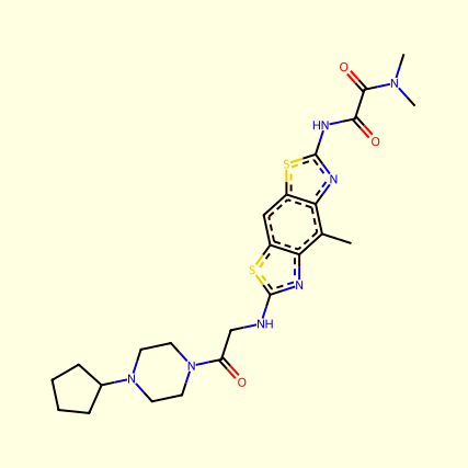 Cc1c2nc(NCC(=O)N3CCN(C4CCCC4)CC3)sc2cc2sc(NC(=O)C(=O)N(C)C)nc12